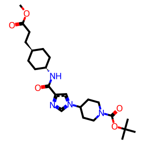 COC(=O)CC[C@H]1CC[C@H](NC(=O)c2cn(C3CCN(C(=O)OC(C)(C)C)CC3)cn2)CC1